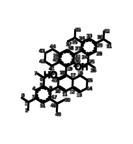 CC(C)c1cc(C(C)C)c(C2=CC3=CCCCC3C(c3c(O)c(-c4c(C(C)C)cc(C(C)C)cc4C(C)C)cc4c3CCCC4)=C2O)c(C(C)C)c1